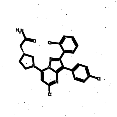 NC(=O)C[C@H]1CCN(c2cc(Cl)nc3c(-c4ccc(Cl)cc4)c(-c4ccccc4Cl)nn23)C1